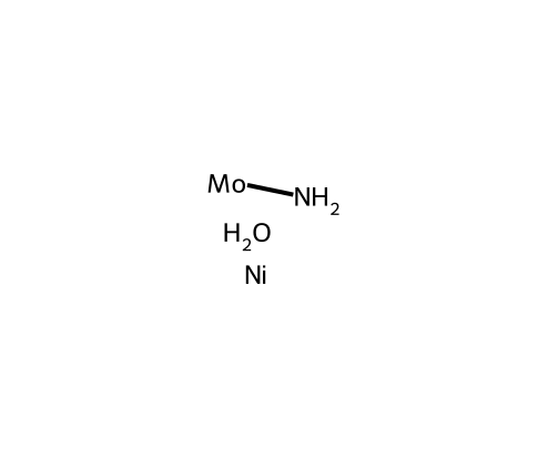 O.[NH2][Mo].[Ni]